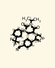 CC(C)n1c(=O)c(-n2cnnc2-c2ccc(C#N)cc2)cn(-c2cccc(C(F)(F)F)c2)c1=O